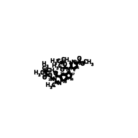 COC(=O)c1ccc(N(C(=O)OC(C)(C)C)[C@H]2CCc3cc4nc(C)n(COC(=O)C(C)(C)C)c(=O)c4cc32)cn1